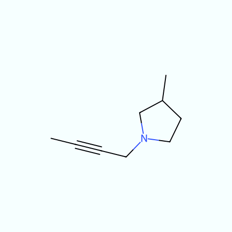 CC#CCN1CCC(C)C1